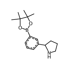 CC1(C)OB(c2cccc(C3CCCN3)c2)OC1(C)C